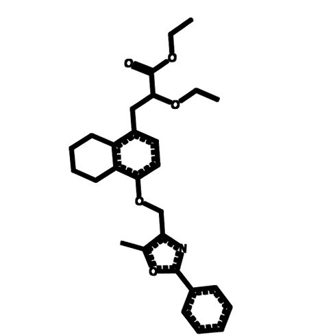 CCOC(=O)C(Cc1ccc(OCc2nc(-c3ccccc3)oc2C)c2c1CCCC2)OCC